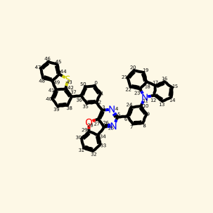 c1cc(-c2nc(-c3cccc(-n4c5ccccc5c5ccccc54)c3)nc3c2oc2ccccc23)cc(-c2cccc3c2sc2ccccc23)c1